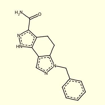 NC(=O)c1n[nH]c2c1CCc1c-2cnn1Cc1ccccc1